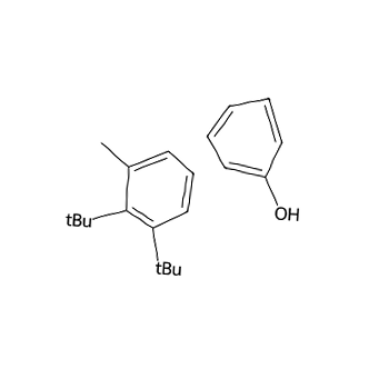 Cc1cccc(C(C)(C)C)c1C(C)(C)C.Oc1ccccc1